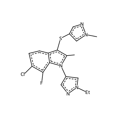 CCn1cc(-n2c(C)c(Sc3cnn(C)c3)c3ccc(Cl)c(F)c32)cn1